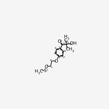 CSOCCOc1ccc(C(=O)C(C)(C)O)cc1